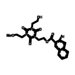 COCCn1c(=O)n(CCO)c(=O)n(CCOC(=O)c2cc3ccccc3cc2C(C)=O)c1=O